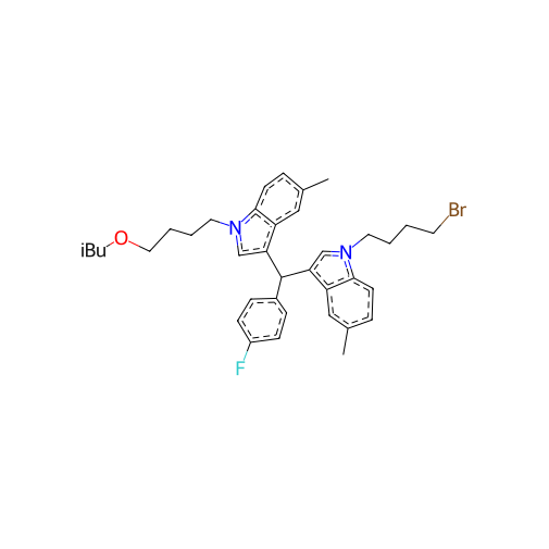 CCC(C)OCCCCn1cc(C(c2ccc(F)cc2)c2cn(CCCCBr)c3ccc(C)cc23)c2cc(C)ccc21